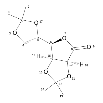 CC1(C)OC[C@@H]([C@H]2OC(=O)[C@H]3OC(C)(C)O[C@@H]23)O1